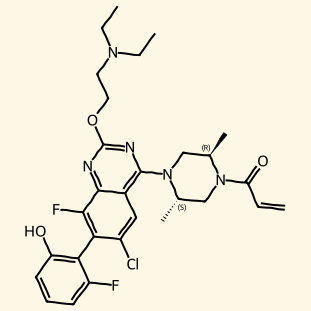 C=CC(=O)N1C[C@H](C)N(c2nc(OCCN(CC)CC)nc3c(F)c(-c4c(O)cccc4F)c(Cl)cc23)C[C@H]1C